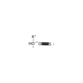 O=S.[K+].[OH-]